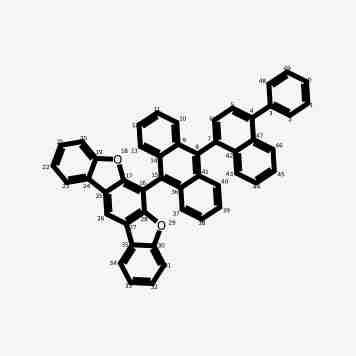 c1ccc(-c2ccc(-c3c4ccccc4c(-c4c5oc6ccccc6c5cc5c4oc4ccccc45)c4ccccc34)c3ccccc23)cc1